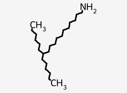 CCCCCCC(CCCCCC)CCCCCCCCCCCN